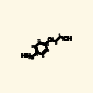 OCCOc1ccc(SS)cc1